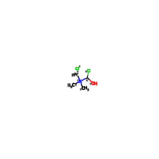 CCC[N+](C)(C)C(O)Cl.[Cl-]